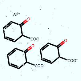 O=C([O-])C1C=CC=CC1=O.O=C([O-])C1C=CC=CC1=O.O=C([O-])C1C=CC=CC1=O.[Al+3]